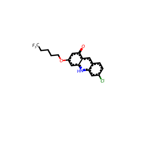 O=c1cc(OCCCCC(F)(F)F)cc2[nH]c3cc(Cl)ccc3cc1-2